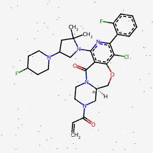 C=CC(=O)N1CCN2C(=O)c3c(N4CC(N5CCC(F)CC5)CC4(C)C)nc(-c4ccccc4F)c(Cl)c3OC[C@H]2C1